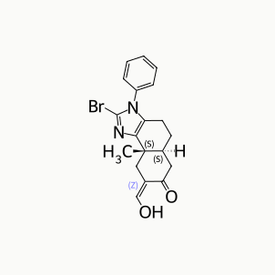 C[C@]12C/C(=C/O)C(=O)C[C@@H]1CCc1c2nc(Br)n1-c1ccccc1